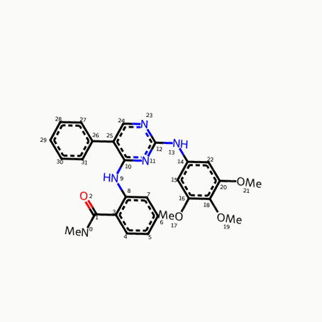 CNC(=O)c1ccccc1Nc1nc(Nc2cc(OC)c(OC)c(OC)c2)ncc1-c1ccccc1